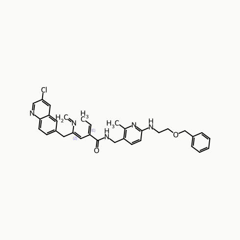 C=N/C(=C\C(=C/C)C(=O)NCc1ccc(NCCOCc2ccccc2)nc1C)Cc1ccc2ncc(Cl)cc2c1